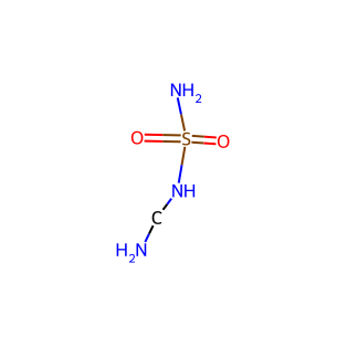 NCNS(N)(=O)=O